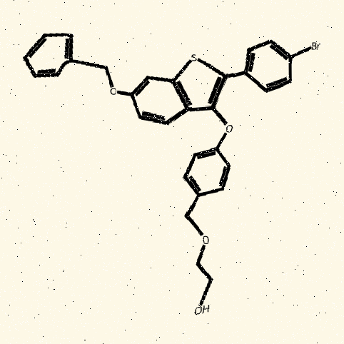 OCCOCc1ccc(Oc2c(-c3ccc(Br)cc3)sc3cc(OCc4ccccc4)ccc23)cc1